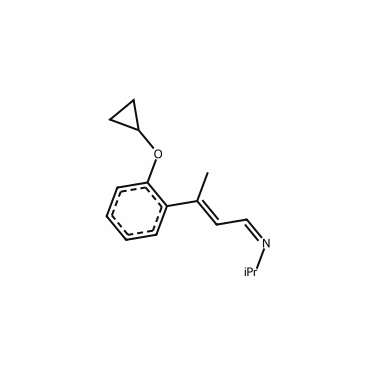 C/C(=C\C=N/C(C)C)c1ccccc1OC1CC1